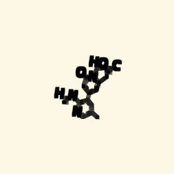 Cc1cnc(N)c(-c2cc3n(c(=O)c2)[C@H](C(=O)O)CC3)c1